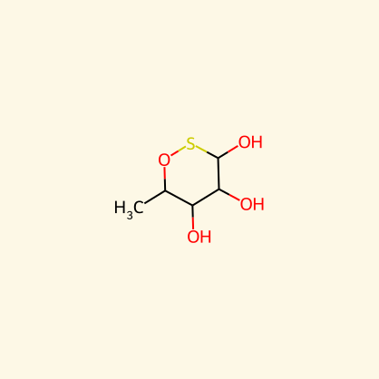 CC1OSC(O)C(O)C1O